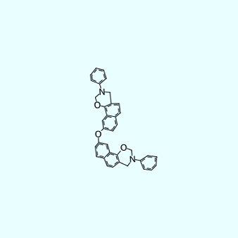 c1ccc(N2COc3c(ccc4ccc(Oc5ccc6ccc7c(c6c5)OCN(c5ccccc5)C7)cc34)C2)cc1